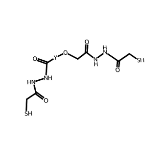 O=C(CS)NNC(=O)C[O][Y][C](=O)NNC(=O)CS